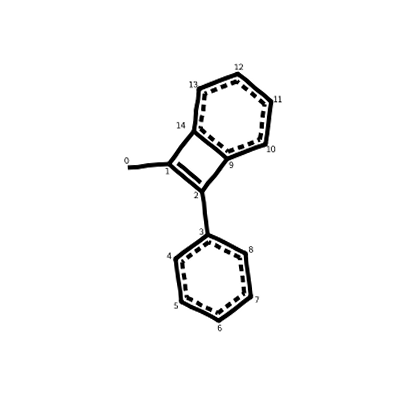 CC1=C(c2ccccc2)c2ccccc21